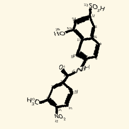 Cc1cc(C(=O)Nc2ccc3cc(S(=O)(=O)O)cc(O)c3c2)ccc1[N+](=O)[O-]